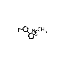 Cc1nc2c(-c3cccc(F)c3)[c]ccc2s1